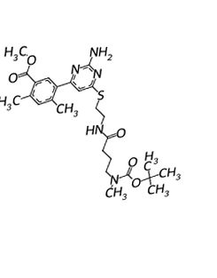 COC(=O)c1cc(-c2cc(SCCNC(=O)CCCN(C)C(=O)OC(C)(C)C)nc(N)n2)c(C)cc1C